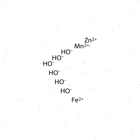 [Fe+2].[Mn+2].[OH-].[OH-].[OH-].[OH-].[OH-].[OH-].[Zn+2]